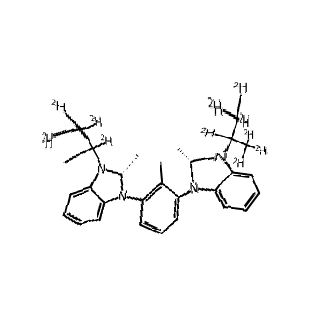 [2H]C([2H])([2H])C([2H])(C)N1c2ccccc2N(c2cccc(N3c4ccccc4N(C([2H])(C([2H])([2H])[2H])C([2H])([2H])[2H])[C@H]3C)c2C)[C@H]1C